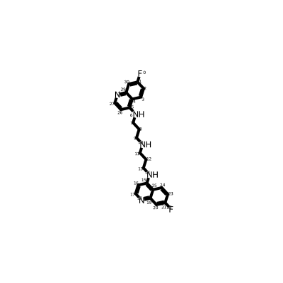 Fc1ccc2c(NCCCNCCCNc3ccnc4cc(F)ccc34)ccnc2c1